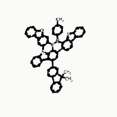 Cc1ccc(N2B3c4cc5oc6ccccc6c5cc4-n4c5ccccc5c5c(-c6ccc7c(c6)C(C)(C)c6ccccc6-7)cc(c3c54)-c3ccc4c(sc5ccccc54)c32)cc1